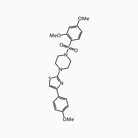 COc1ccc(-c2csc(N3CCN(S(=O)(=O)c4ccc(OC)cc4OC)CC3)n2)cc1